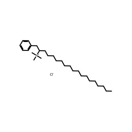 CCCCCCCCCCCCCCCCCC(Cc1ccccc1)[N+](C)(C)C.[Cl-]